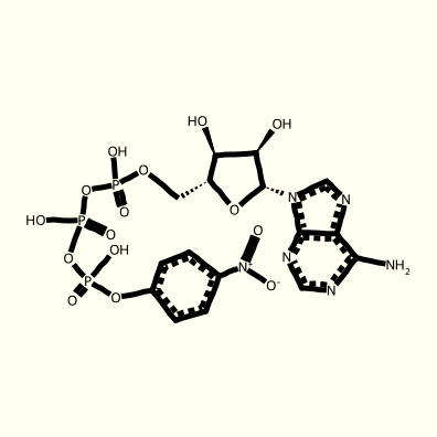 Nc1ncnc2c1ncn2[C@@H]1O[C@H](COP(=O)(O)OP(=O)(O)OP(=O)(O)Oc2ccc([N+](=O)[O-])cc2)[C@@H](O)[C@H]1O